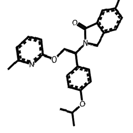 Cc1cccc(OCC(c2ccc(OC(C)C)cc2)N2Cc3ccc(Br)cc3C2=O)n1